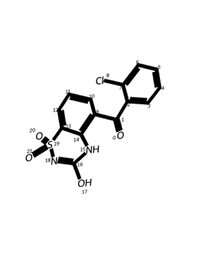 O=C(c1ccccc1Cl)c1cccc2c1NC(O)=NS2(=O)=O